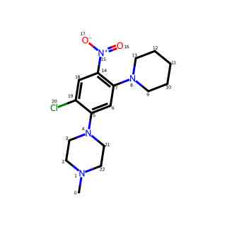 CN1CCN(c2cc(N3CCCCC3)c([N+](=O)[O-])cc2Cl)CC1